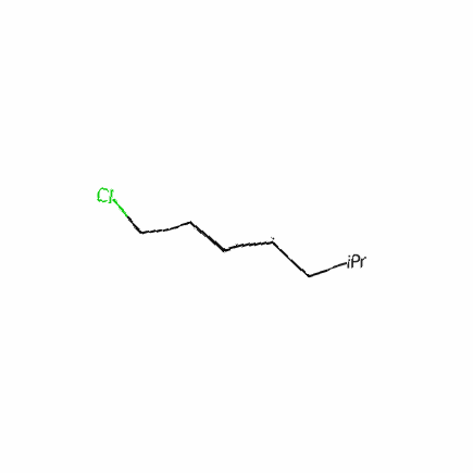 CC(C)C[CH]CCCCl